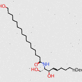 CCCCCCCCCCCCC/C=C/[C@@H](O)[C@H](CO)NC(=O)CCCCCCCCCCCCCCCO